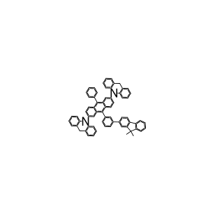 CC1(C)c2ccccc2-c2ccc(-c3cccc(-c4c5ccc(N6c7ccccc7Cc7ccccc76)cc5c(-c5ccccc5)c5ccc(N6c7ccccc7Cc7ccccc76)cc45)c3)cc21